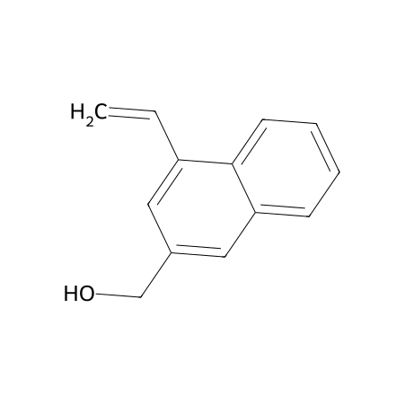 C=Cc1cc(CO)cc2ccccc12